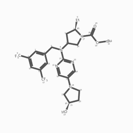 CC[C@@H]1CC(N(Cc2cc(C(F)(F)F)cc(C(F)(F)F)c2)c2ncc(N3CC[C@@H](O)C3)cn2)CN1C(=O)OC(C)(C)C